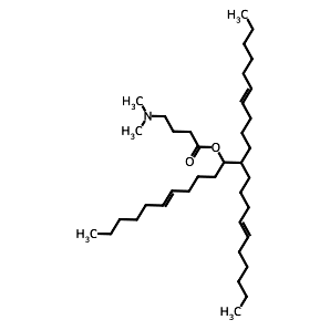 CCCCCC=CCCCC(CCCC=CCCCCC)C(CCCC=CCCCCC)OC(=O)CCCN(C)C